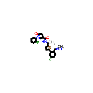 CNCc1ccc(Cl)cc1-c1ccc([C@@H](C)NC(=O)c2ccc(=O)n(-c3ccccc3F)c2)s1